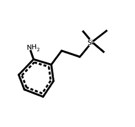 C[Si](C)(C)CCc1ccccc1N